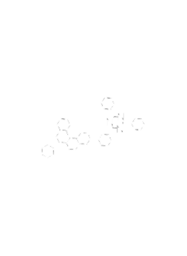 CC1(C)c2ccccc2-c2c1c1ccccc1c1c2ccc2cc(-c3cccc(-c4nc(-c5ccccc5)nc(-c5ccccc5)n4)c3)ccc21